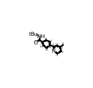 Cc1ccnc(-c2ccc(C(=O)NC(C)(C)C)cc2)c1